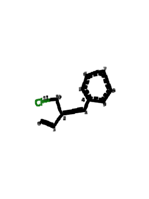 C=CC(=Cc1ccccc1)CCl